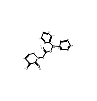 O=C(CN1CC=CC(=O)C1=S)OC(c1ccccc1)c1ccccc1